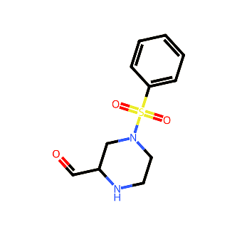 O=CC1CN(S(=O)(=O)c2ccccc2)CCN1